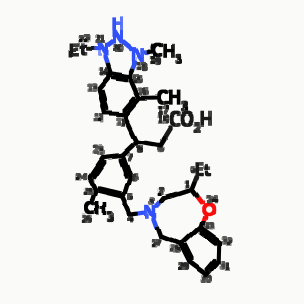 CCC1CN(Cc2cc(C(CC(=O)O)c3ccc4c(c3C)N(C)NN4CC)ccc2C)Cc2ccccc2O1